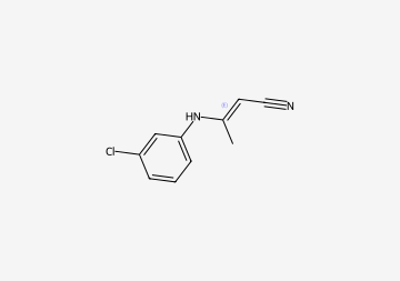 C/C(=C\C#N)Nc1cccc(Cl)c1